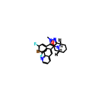 Cn1nc2c(c1-c1cc(F)cc(F)c1)C[C@H]1CCC[C@@H]2N1C(=O)c1cc(Br)c2ncccc2c1